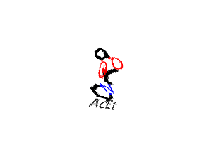 CCC1(C(C)=O)CCCN(CC2COc3ccccc3O2)C1